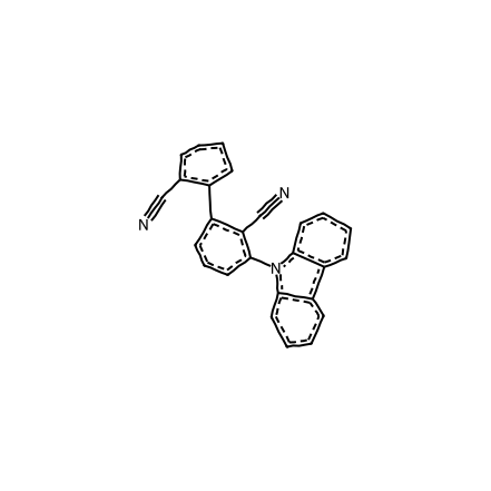 N#Cc1ccccc1-c1cccc(-n2c3ccccc3c3ccccc32)c1C#N